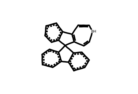 B1C=CC2=C(C=C1)C1(c3ccccc32)c2ccccc2-c2ccccc21